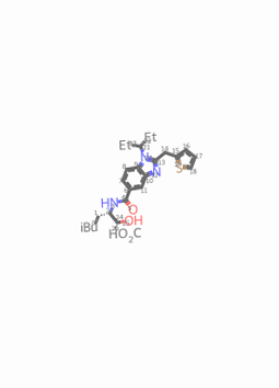 CCC(C)C[C@H](NC(=O)c1ccc2c(c1)nc(Cc1cccs1)n2C(CC)CC)[C@H](O)C(=O)O